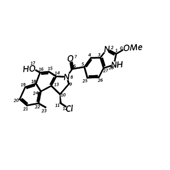 COc1nc2cc(C(=O)N3C[C@@H](CCl)c4c3cc(O)c3cccc(C)c43)ccc2[nH]1